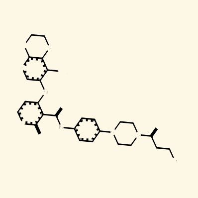 Cc1c(Nc2cc[nH]c(=O)c2C(=O)Nc2ccc(N3CCN(C(=O)CCO)CC3)cc2)cnc2c1NCCO2